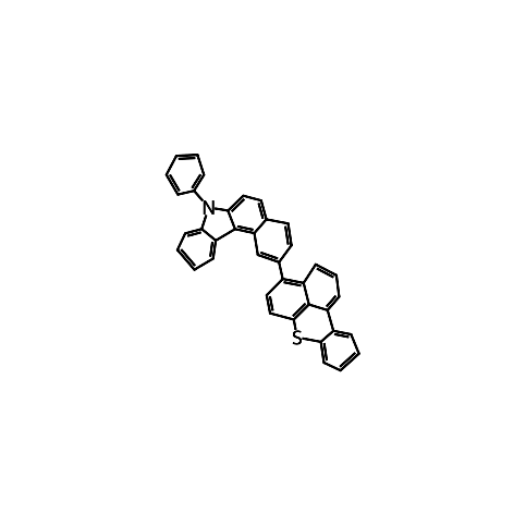 c1ccc(-n2c3ccccc3c3c4cc(-c5ccc6c7c(cccc57)-c5ccccc5S6)ccc4ccc32)cc1